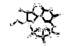 CCOC[C@H]1O[C@@H](n2cc(OP(=O)(O)OP(=O)(O)OP(=O)(O)O)c(=O)[nH]c2=O)[C@H](O)[C@@H]1O